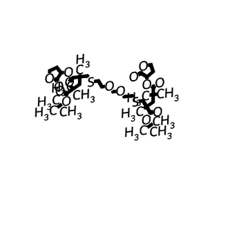 CC(C)(C)OC(=O)C(C)(C)CC(C)(CSCCOCOCCSCC(C)(CC(C)(C)C(=O)OC1CCOC1=O)C(=O)OC(C)(C)C)C(=O)OC1CCOC1=O